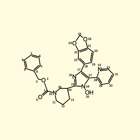 O=C(OCc1ccccc1)N1CCCC(c2nc(-c3ccc4c(c3)OCO4)c(-c3ccccn3)n2O)C1